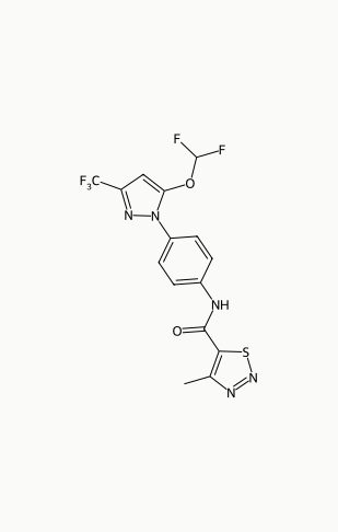 Cc1nnsc1C(=O)Nc1ccc(-n2nc(C(F)(F)F)cc2OC(F)F)cc1